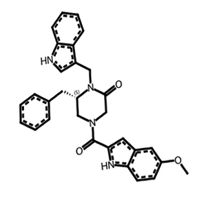 COc1ccc2[nH]c(C(=O)N3CC(=O)N(Cc4c[nH]c5ccccc45)[C@@H](Cc4ccccc4)C3)cc2c1